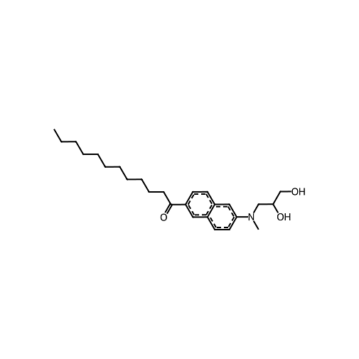 CCCCCCCCCCCC(=O)c1ccc2cc(N(C)CC(O)CO)ccc2c1